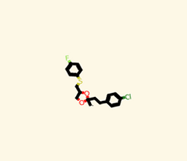 [CH2]C1(CCc2ccc(Cl)cc2)OCC(CSc2ccc(F)cc2)O1